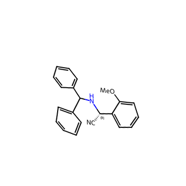 COc1ccccc1[C@H](C#N)NC(c1ccccc1)c1ccccc1